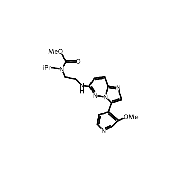 COC(=O)N(CCNc1ccc2ncc(-c3ccncc3OC)n2n1)C(C)C